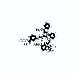 COc1ccc(OC)c([N+](C)(O)C(=O)COc2ccccc2N(CC(=O)N(C)c2ccccc2)C(=O)CNC(=O)Nc2cccc(C(C)C(=O)[O-])c2)c1